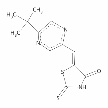 CC(C)(C)c1cnc(/C=C2\SC(=S)NC2=O)cn1